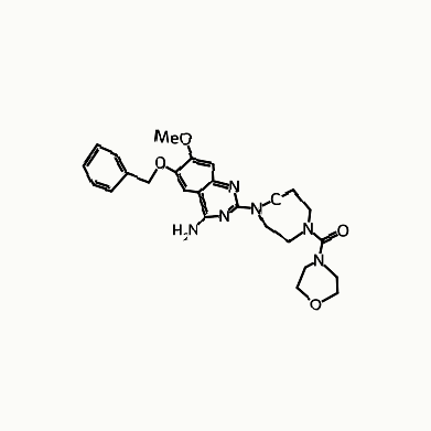 COc1cc2nc(N3CCCN(C(=O)N4CCOCC4)CC3)nc(N)c2cc1OCc1ccccc1